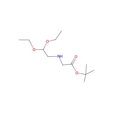 CCOC(CNCC(=O)OC(C)(C)C)OCC